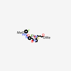 CCOC[C@]1(c2ncc(CCC(=O)OC)s2)CCCN1C(=O)Cc1ccc2nc(Nc3cc(F)ccc3OC)oc2c1F